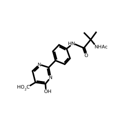 CC(=O)NC(C)(C)C(=O)Nc1ccc(-c2ncc(C(=O)O)c(O)n2)cc1